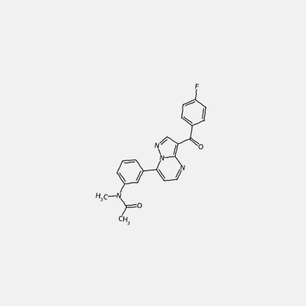 CC(=O)N(C)c1cccc(-c2ccnc3c(C(=O)c4ccc(F)cc4)cnn23)c1